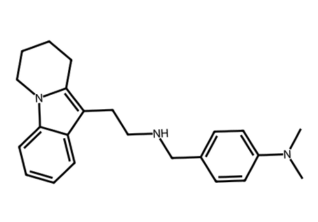 CN(C)c1ccc(CNCCc2c3n(c4ccccc24)CCCC3)cc1